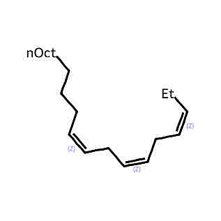 CC/C=C\C/C=C\C/C=C\CCCCCCCCCCC